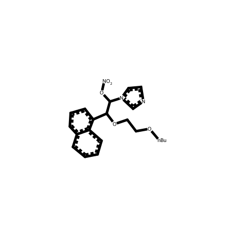 CCCCOCCO[C](c1cccc2ccccc12)C(O[N+](=O)[O-])n1ccnc1